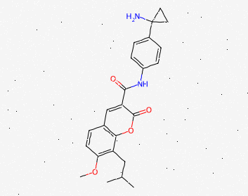 COc1ccc2cc(C(=O)Nc3ccc(C4(N)CC4)cc3)c(=O)oc2c1CC(C)C